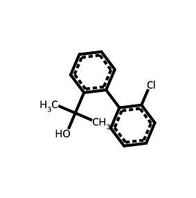 CC(C)(O)c1ccccc1-c1ccccc1Cl